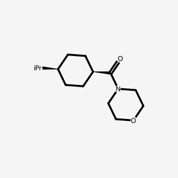 CC(C)[C@H]1CC[C@@H](C(=O)N2CCOCC2)CC1